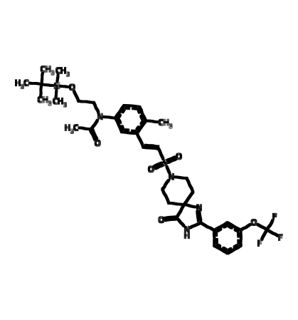 CC(=O)N(CCO[Si](C)(C)C(C)(C)C)c1ccc(C)c(/C=C/S(=O)(=O)N2CCC3(CC2)N=C(c2cccc(OC(F)(F)F)c2)NC3=O)c1